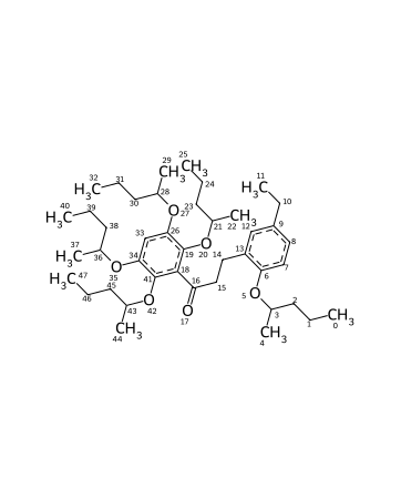 CCCC(C)Oc1ccc(CC)cc1CCC(=O)c1c(OC(C)CCC)c(OC(C)CCC)cc(OC(C)CCC)c1OC(C)CCC